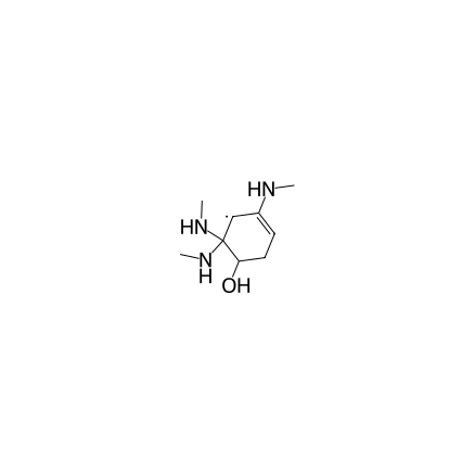 CNC1=CCC(O)C(NC)(NC)[CH]1